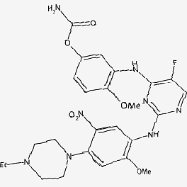 CCN1CCN(c2cc(OC)c(Nc3ncc(F)c(Nc4cc(OC(N)=O)ccc4OC)n3)cc2[N+](=O)[O-])CC1